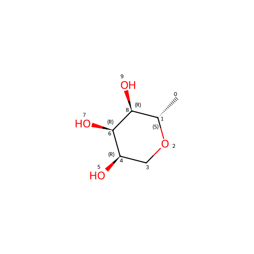 C[C@@H]1OC[C@@H](O)[C@@H](O)[C@H]1O